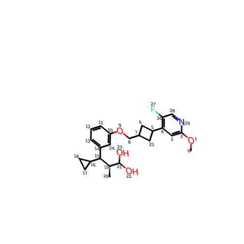 COc1cc(C2CC(COc3cccc(C(C4CC4)[C@H](C)C(O)O)c3)C2)c(F)cn1